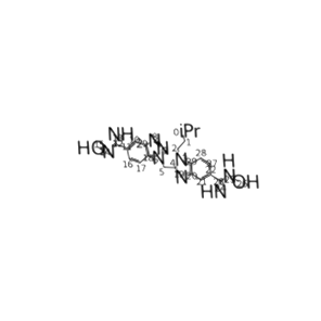 CC(C)CCn1c(Cn2nnc3cc(C(N)=NO)ccc32)nc2cc(C(=N)NO)ccc21